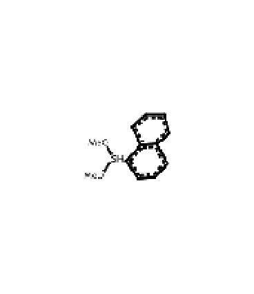 CO[SiH](OC)c1cccc2ccccc12